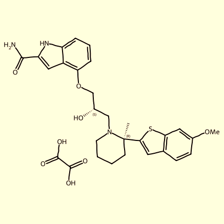 COc1ccc2cc([C@@]3(C)CCCCN3C[C@H](O)COc3cccc4[nH]c(C(N)=O)cc34)sc2c1.O=C(O)C(=O)O